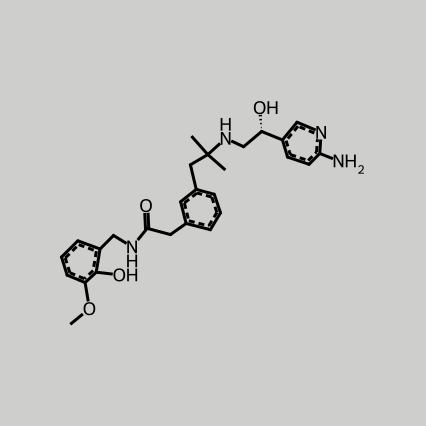 COc1cccc(CNC(=O)Cc2cccc(CC(C)(C)NC[C@H](O)c3ccc(N)nc3)c2)c1O